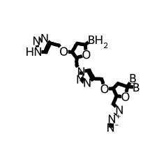 BC1CC(OCc2c[nH]nn2)C(Cn2cc(COC3CC4(B=B4)OC3CN=[N+]=[N-])nn2)O1